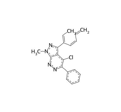 C=C/C=C\C(=C/C)c1nn(C)c2nnc(-c3ccccc3)c(Cl)c12